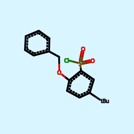 CC(C)(C)c1ccc(OCc2ccccc2)c(S(=O)(=O)Cl)c1